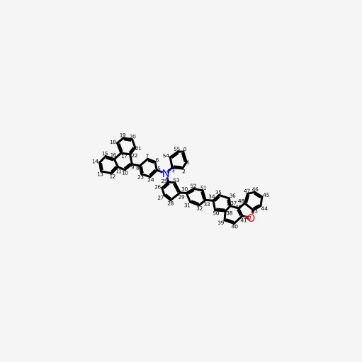 c1ccc(N(c2ccc(-c3cc4ccccc4c4ccccc34)cc2)c2cccc(-c3ccc(-c4ccc5c(ccc6oc7ccccc7c65)c4)cc3)c2)cc1